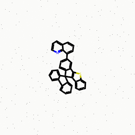 c1ccc2c(c1)-c1ccccc1C21c2ccc(-c3cccc4cccnc34)cc2-c2sc3ccccc3c21